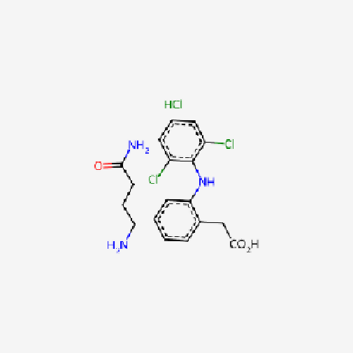 Cl.NCCCC(N)=O.O=C(O)Cc1ccccc1Nc1c(Cl)cccc1Cl